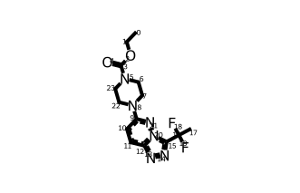 CCOC(=O)N1CCN(c2ccc3nnc(C(C)(F)F)n3n2)CC1